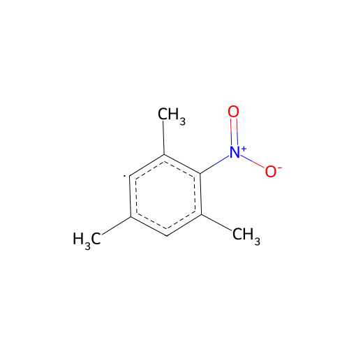 Cc1[c]c(C)c([N+](=O)[O-])c(C)c1